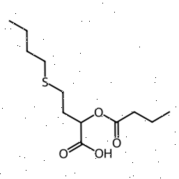 CCCCSCCC(OC(=O)CCC)C(=O)O